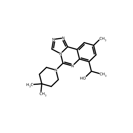 Cc1cc(C(C)O)c2nc(N3CCC(C)(C)CC3)n3cnnc3c2c1